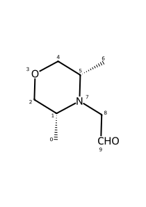 C[C@@H]1COC[C@H](C)N1CC=O